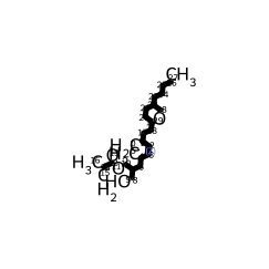 C=C(/C=C\C(=C)CC(CO)COC(=O)C(=C)C)CCC1CCC(CCCCC)CO1